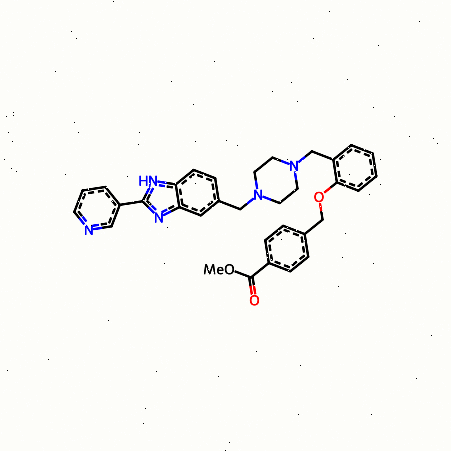 COC(=O)c1ccc(COc2ccccc2CN2CCN(Cc3ccc4[nH]c(-c5cccnc5)nc4c3)CC2)cc1